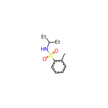 [CH2]c1ccccc1S(=O)(=O)NC(CC)CC